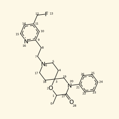 CC1OC2(CCN(CCc3cc(CF)ccn3)CC2)CN(c2ccccc2)C1=O